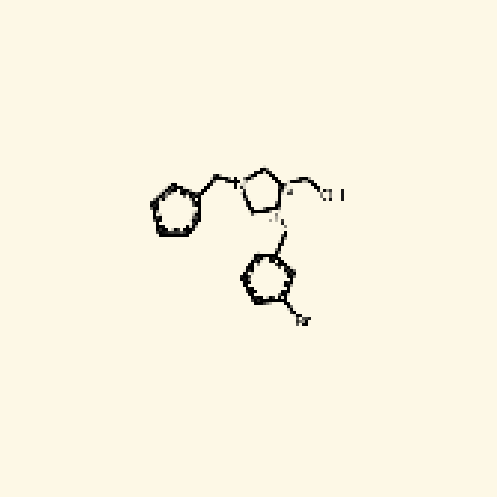 OC[C@@H]1CN(Cc2ccccc2)C[C@H]1Cc1cccc(Br)c1